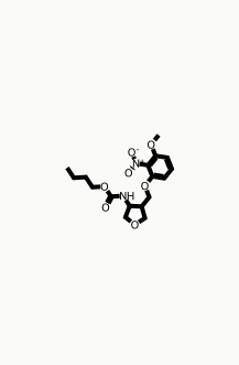 CCCCOC(=O)NC1COCC1COc1cccc(OC)c1[N+](=O)[O-]